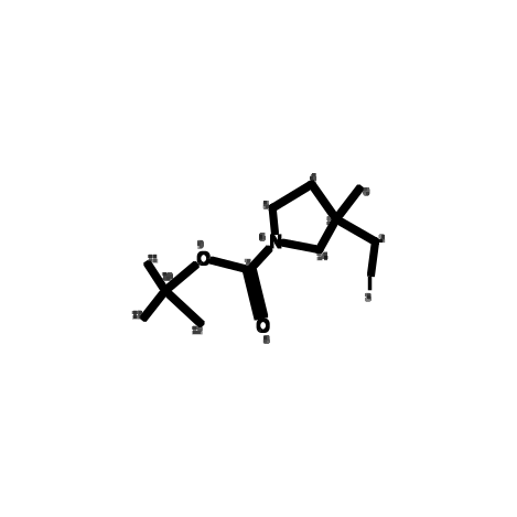 CC1(CI)CCN(C(=O)OC(C)(C)C)C1